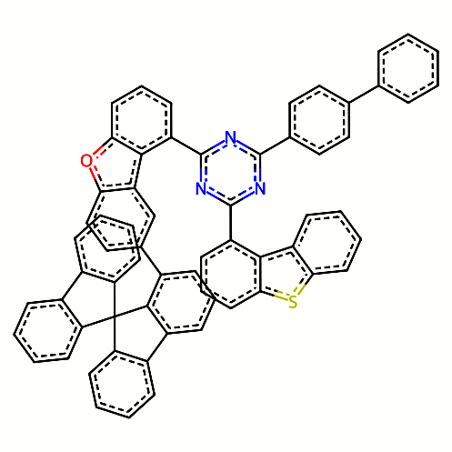 c1ccc(-c2ccc(-c3nc(-c4cccc5oc6ccc(-c7cccc8c7C7(c9ccccc9-c9ccccc97)c7ccccc7-8)cc6c45)nc(-c4cccc5sc6ccccc6c45)n3)cc2)cc1